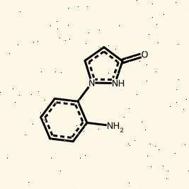 Nc1ccccc1-n1ccc(=O)[nH]1